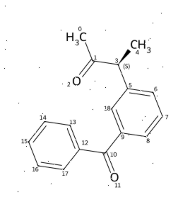 CC(=O)[C@@H](C)c1cccc(C(=O)c2ccccc2)c1